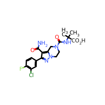 CC(C)(NC(=O)N1CCn2nc(-c3ccc(F)c(Cl)c3)c(C(N)=O)c2C1)C(=O)O